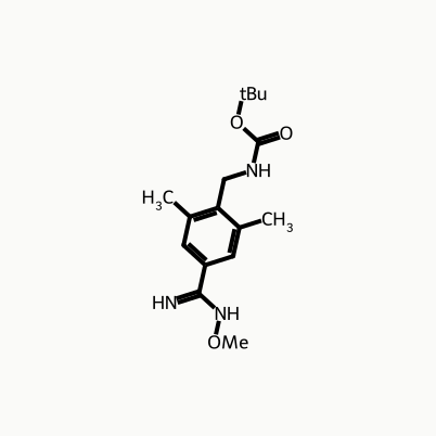 CONC(=N)c1cc(C)c(CNC(=O)OC(C)(C)C)c(C)c1